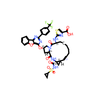 O=C(O)c1csc(N[C@H]2CCCCC/C=C\[C@@H]3C[C@@]3(C(=O)NS(=O)(=O)C3CC3)NC(=O)[C@@H]3C[C@@H](Oc4nc(-c5ccc(C(F)(F)F)cc5)nc5c4oc4ccccc45)CN3C2=O)n1